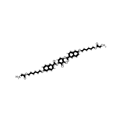 C=CC(=O)OCCCCCCOc1ccc2cc(C(=O)Oc3ccc(OC(=O)c4ccc5cc(OCCCCCCOC(=O)C=C)ccc5c4)c(Cl)c3Cl)ccc2c1